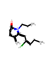 C=c1ccc(=O)n(CCC)/c1=C/C(F)=C\CC